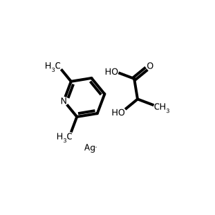 CC(O)C(=O)O.Cc1cccc(C)n1.[Ag]